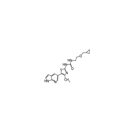 Cc1nc(NC(=O)NCCOCC2CC2)sc1-c1cnc2[nH]ccc2c1